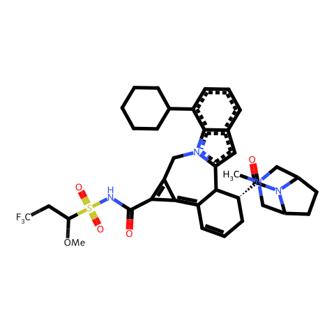 COC(CC(F)(F)F)S(=O)(=O)NC(=O)C1=C2Cn3c(cc4cccc(C5CCCCC5)c43)C3C(=C21)C=CC[C@H]3C(=O)N1C2CCC1CN(C)C2